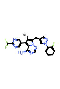 N#Cc1c(-c2cnc(C(F)F)nc2)c2c(N)ncnn2c1Cc1cnn(-c2ccccc2F)c1